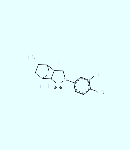 N#Cc1ccc(N2C[C@@H]3[C@H]4O[C@H](C[C@@H]4N)[C@@H]3S2(=O)=O)cc1C(F)(F)F